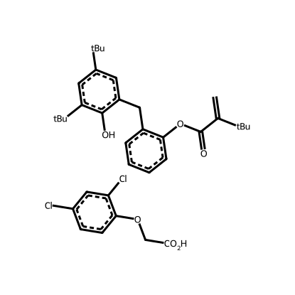 C=C(C(=O)Oc1ccccc1Cc1cc(C(C)(C)C)cc(C(C)(C)C)c1O)C(C)(C)C.O=C(O)COc1ccc(Cl)cc1Cl